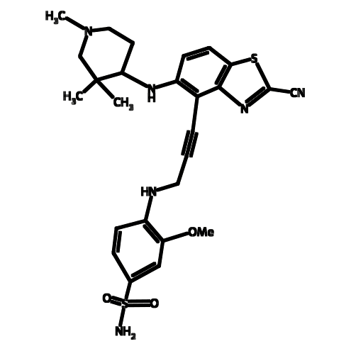 COc1cc(S(N)(=O)=O)ccc1NCC#Cc1c(NC2CCN(C)CC2(C)C)ccc2sc(C#N)nc12